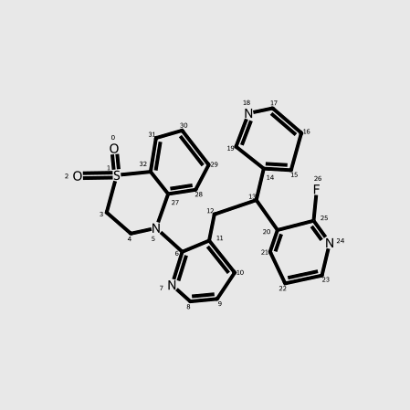 O=S1(=O)CCN(c2ncccc2CC(c2cccnc2)c2cccnc2F)c2ccccc21